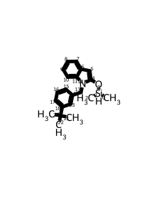 C[SiH](C)Oc1cc2ccccc2n1Cc1cccc(C(C)(C)C)c1